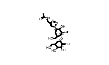 CC(=O)NCc1cn([C@@H]2CC(CO)[C@@H](O[C@@H]3CC(CO)[C@H](O)[C@H](O)C3O)[C@H](O)C2O)nn1